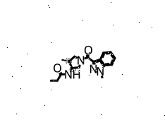 CCC(=O)N[C@@H]1CN(C(=O)c2nn(C)c3ccccc23)C[C@@H]1C